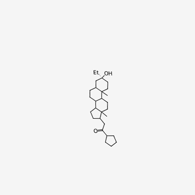 CC[C@]1(O)CCC2(C)C(CCC3C4CCC(CC(=O)C5CCCC5)C4(C)CCC32)C1